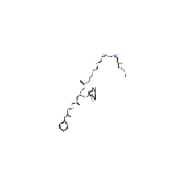 C=C(CCCCCCC/C=C\C/C=C\CCCCC)CCC(CC(=C)CCCC(=C)Cc1ccccc1)Cc1cncn1C